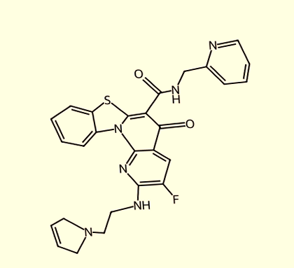 O=C(NCc1ccccn1)c1c(=O)c2cc(F)c(NCCN3CC=CC3)nc2n2c1sc1ccccc12